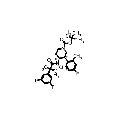 Cc1cc(F)ccc1[C@@H]1CN(C(=O)OC(C)(C)C)CC[C@H]1N(C)C(=O)C(C)(C)c1cc(F)cc(F)c1